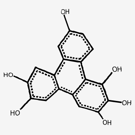 Oc1ccc2c(c1)c1cc(O)c(O)cc1c1cc(O)c(O)c(O)c21